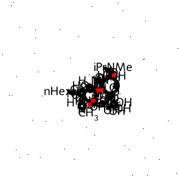 CCCCCCNC(=O)Oc1cc(O)c2c(c1)[C@@H](C(=O)N1CCN(C)CC1)NC(=O)[C@H]1NC(=O)[C@H](NC(=O)[C@@H]3NC(=O)[C@H](CC(N)=O)NC(=O)[C@H](NC(=O)[C@@H](CC(C)C)NC)[C@H](O)c4ccc(c(C)c4)Oc4cc3cc(c4O[C@@H]3O[C@H](CO)[C@@H](O)[C@H](O)[C@H]3O)Oc3ccc(cc3Cl)[C@H]1O)c1ccc(O)c-2c1